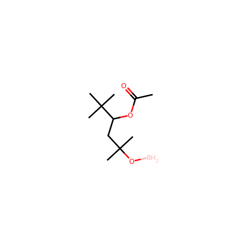 BOC(C)(C)CC(OC(C)=O)C(C)(C)C